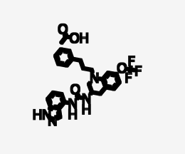 CC(=O)O.O=C(Nc1cccc2[nH]ncc12)NC1Cc2ccc(OC(F)(F)F)cc2N(CCCc2ccccc2)C1